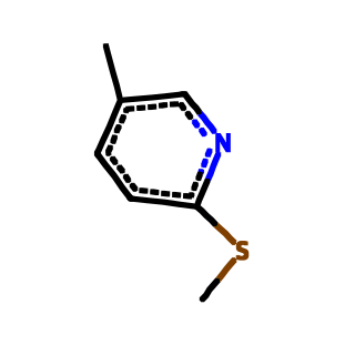 CSc1ccc(C)cn1